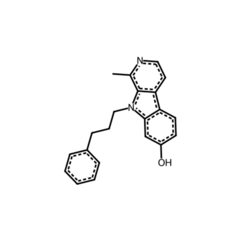 Cc1nccc2c3ccc(O)cc3n(CCCc3ccccc3)c12